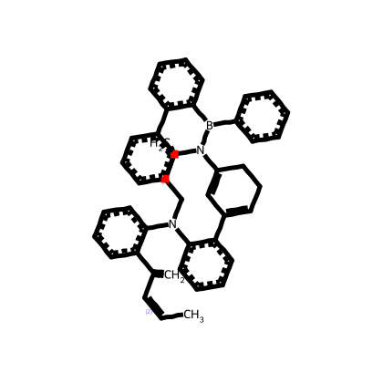 C=CCCN(c1ccccc1C(=C)/C=C\C)c1ccccc1C1=CCCC(N2B(c3ccccc3)c3ccccc3-c3ccccc32)=C1